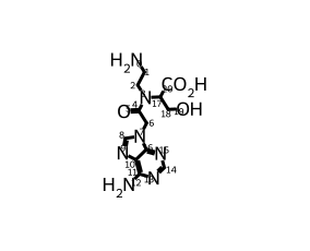 NCCN(C(=O)Cn1cnc2c(N)ncnc21)C(CO)C(=O)O